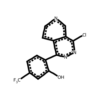 Oc1cc(C(F)(F)F)ccc1-c1nnc(Cl)c2cnccc12